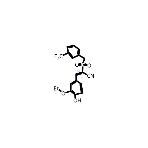 CCOc1cc(/C=C(\C#N)S(=O)(=O)Cc2cccc(C(F)(F)F)c2)ccc1O